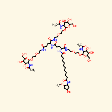 COC1CC(O)CC1NC(=O)CCCCCCCCCCC(=O)NC(CCC(=O)NC(CCC(=O)NCCOCCOC1O[C@H](CO)C(O)C(O)C1NC(C)=O)C(=O)NCCOCCOC1OC(CO)C(O)C(O)C1NC(C)=O)C(=O)NCCOCCOC1OC(CO)C(O)C(O)C1NC(C)=O